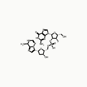 Nc1nc2c(ncn2[C@@H]2O[C@H](CO)[C@@H](F)[C@H]2OP(=O)(S)OC[C@H]2O[C@@H](c3cnc4n3N=CNC4N)C[C@@H]2O)c(=O)[nH]1